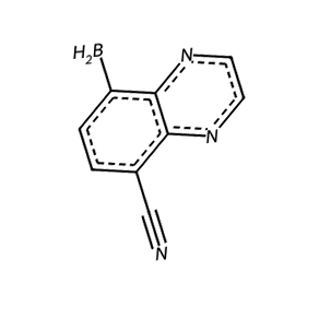 Bc1ccc(C#N)c2nccnc12